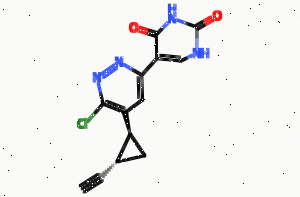 C#C[C@H]1C[C@@H]1c1cc(-c2c[nH]c(=O)[nH]c2=O)nnc1Cl